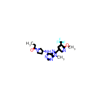 CCC(=O)N1CC[C@H](Nc2ncnc3c2nc(-c2cnc(OC)c(C(F)(F)F)c2)n3C)C1